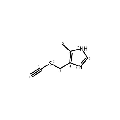 C#CSCc1nc[nH]c1C